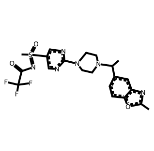 Cc1nc2cc(C(C)N3CCN(c4ncc(S(C)(=O)=NC(=O)C(F)(F)F)cn4)CC3)ccc2o1